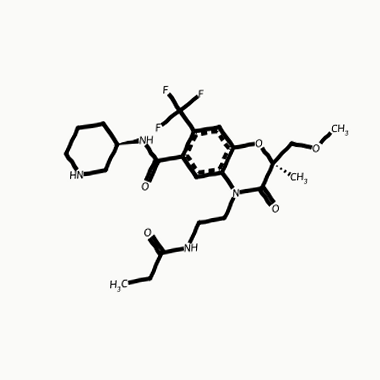 CCC(=O)NCCN1C(=O)[C@](C)(COC)Oc2cc(C(F)(F)F)c(C(=O)N[C@@H]3CCCNC3)cc21